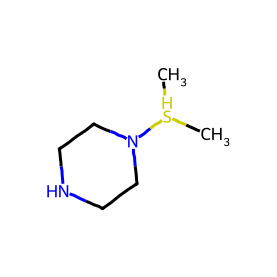 C[SH](C)N1CCNCC1